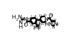 N=C(N)NC(=O)c1ccc(C2=CCN(C(=O)c3cnc[nH]3)CC2)c(C(F)(F)F)c1